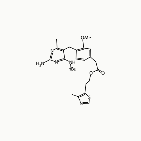 CCCCNc1nc(N)nc(C)c1Cc1ccc(CC(=O)OCCc2scnc2C)cc1OC